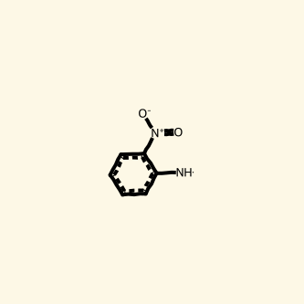 [NH]c1ccccc1[N+](=O)[O-]